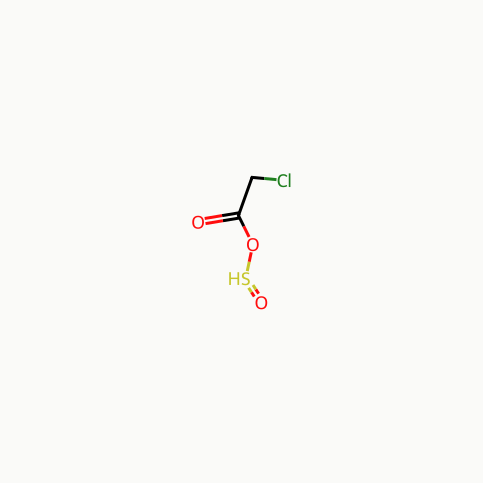 O=[SH]OC(=O)CCl